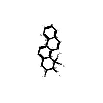 FC1Cc2ccc3c(ccc4ccccc43)c2C(F)(F)C1F